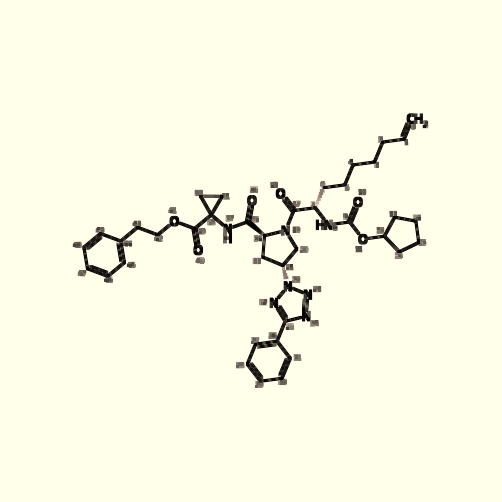 C=CCCCCC[C@H](NC(=O)OC1CCCC1)C(=O)N1C[C@H](n2nnc(-c3ccccc3)n2)C[C@H]1C(=O)NC1(C(=O)OCCc2ccccc2)CC1